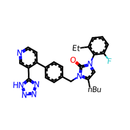 CCCCc1cn(-c2c(F)cccc2CC)c(=O)n1Cc1ccc(-c2ccncc2-c2nnn[nH]2)cc1